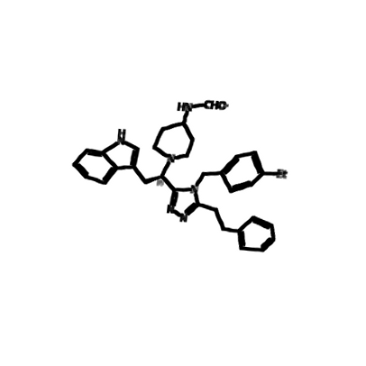 CCc1ccc(Cn2c(CCc3ccccc3)nnc2[C@@H](Cc2c[nH]c3ccccc23)N2CCC(N[C]=O)CC2)cc1